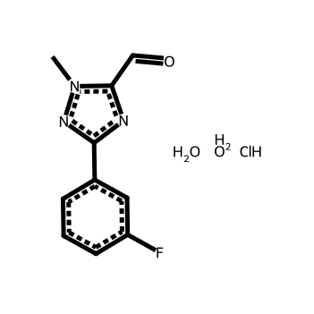 Cl.Cn1nc(-c2cccc(F)c2)nc1C=O.O.O